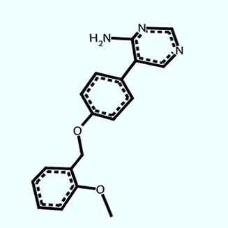 COc1ccccc1COc1ccc(-c2cncnc2N)cc1